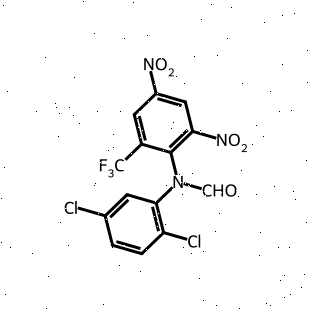 O=CN(c1cc(Cl)ccc1Cl)c1c([N+](=O)[O-])cc([N+](=O)[O-])cc1C(F)(F)F